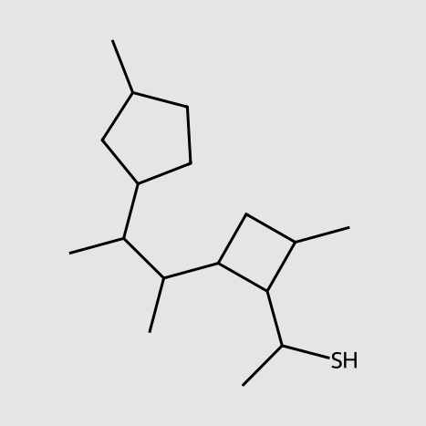 CC1CCC(C(C)C(C)C2CC(C)C2C(C)S)C1